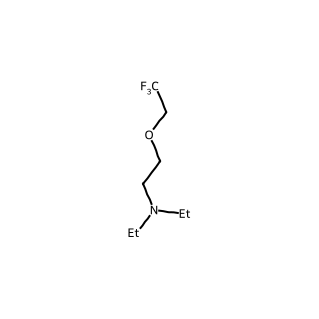 CCN(CC)CCOCC(F)(F)F